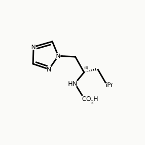 CC(C)C[C@@H](Cn1cncn1)NC(=O)O